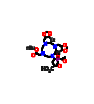 CCCCOC(=O)CN1CCN(CC2OCOC2CC)CCN(CC2OCOC2CC)CCN(C(CCC(=O)O)P(=O)(C2CO2)C2CO2)CC1